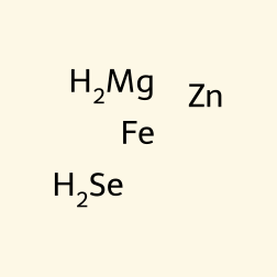 [Fe].[MgH2].[SeH2].[Zn]